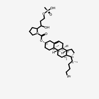 CC(C)CCC[C@@H](C)[C@H]1CC[C@H]2[C@@H]3CC=C4C[C@@H](OC(=O)N5CCCC5C(O)CCOP(C)(=O)O)CC[C@]4(C)[C@H]3CC[C@]12C